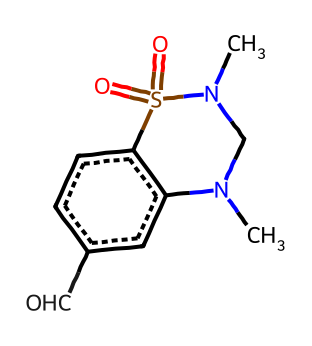 CN1CN(C)S(=O)(=O)c2ccc(C=O)cc21